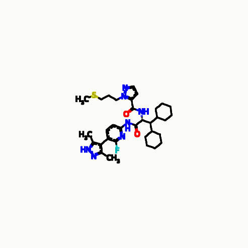 CSCCCn1nccc1C(=O)N[C@@H](C(=O)Nc1ccc(-c2c(C)n[nH]c2C)c(F)n1)C(C1CCCCC1)C1CCCCC1